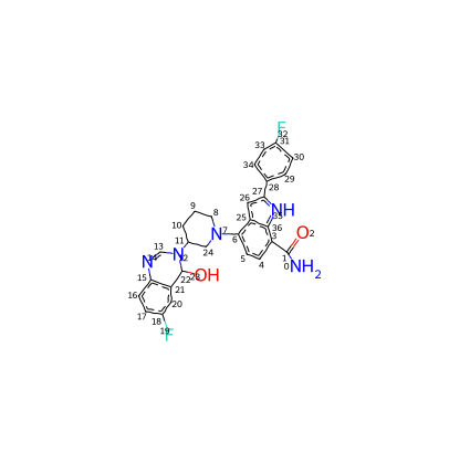 NC(=O)c1ccc(N2CCCC(N3C=Nc4ccc(F)cc4C3O)C2)c2cc(-c3ccc(F)cc3)[nH]c12